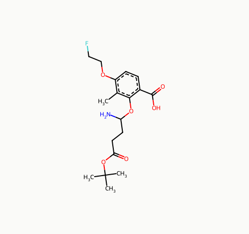 Cc1c(OCCF)ccc(C(=O)O)c1OC(N)CCC(=O)OC(C)(C)C